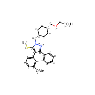 CCSc1c(-c2cccc(OC)c2)c(-c2ccccc2)nn1C[C@H]1CC[C@@H](COCC(=O)O)CC1